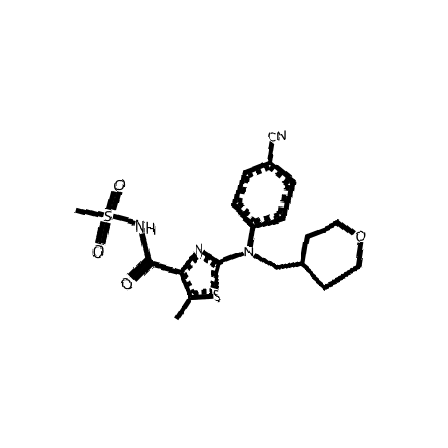 Cc1sc(N(CC2CCOCC2)c2ccc(C#N)cc2)nc1C(=O)NS(C)(=O)=O